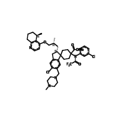 COC(=O)C1(N(C(=O)C(F)(F)F)c2cccc(Cl)c2)CCC2(CC1)c1cc(CN3CCN(C)CC3)c(Cl)cc1C[C@@H]2C[C@@H](C)COc1ccnc2c1[C@H](C)CCC2